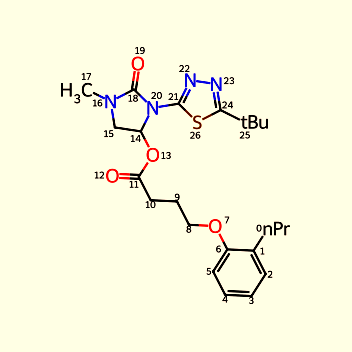 CCCc1ccccc1OCCCC(=O)OC1CN(C)C(=O)N1c1nnc(C(C)(C)C)s1